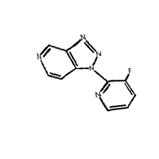 Fc1cccnc1-n1nnc2cnccc21